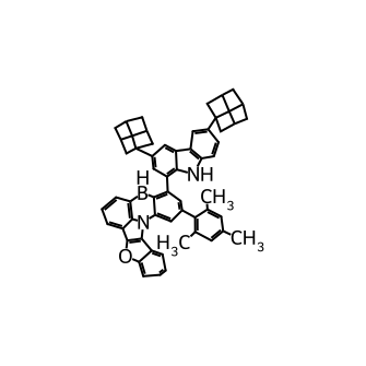 Cc1cc(C)c(-c2cc(-c3cc(C45CC6CC7CC(C4)C765)cc4c3[nH]c3ccc(C56CC7CC8CC(C5)C876)cc34)c3c(c2)-n2c4c(cccc4c4oc5ccccc5c42)B3)c(C)c1